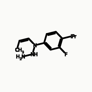 C/C=C\N(NN)c1ccc(C(C)C)c(F)c1